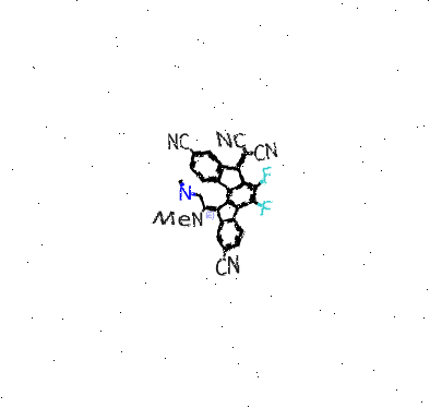 C=NC/C(NC)=C1/c2cc(C#N)ccc2-c2c(F)c(F)c3c(c21)-c1ccc(C#N)cc1C3=C(C#N)C#N